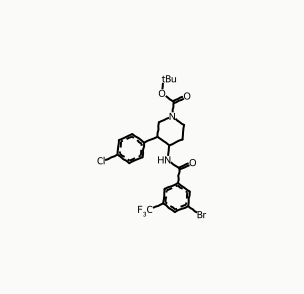 CC(C)(C)OC(=O)N1CCC(NC(=O)c2cc(Br)cc(C(F)(F)F)c2)C(c2ccc(Cl)cc2)C1